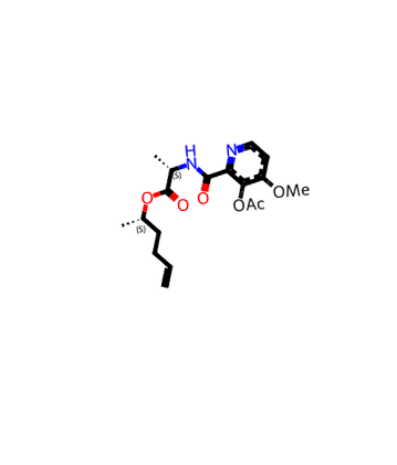 C=CCC[C@H](C)OC(=O)[C@H](C)NC(=O)c1nccc(OC)c1OC(C)=O